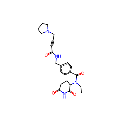 CCN(C(=O)c1ccc(CNC(=O)C#CCN2CCCC2)cc1)C1CCC(=O)NC1=O